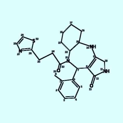 Cc1ccccc1C1C2=C(CNC2=O)NC2CCCCC2N1C(=O)CCc1nccs1